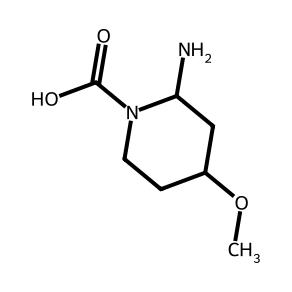 COC1CCN(C(=O)O)C(N)C1